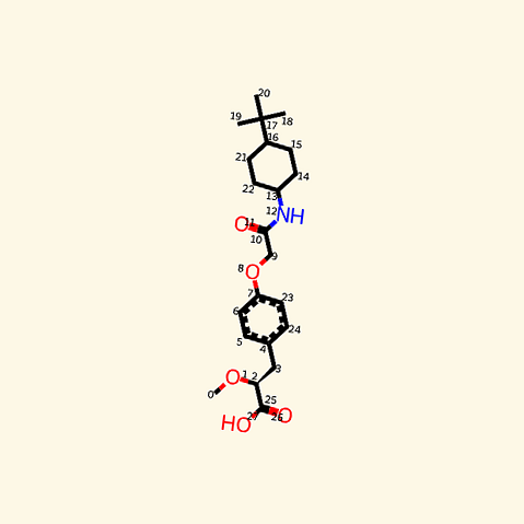 CO[C@@H](Cc1ccc(OCC(=O)NC2CCC(C(C)(C)C)CC2)cc1)C(=O)O